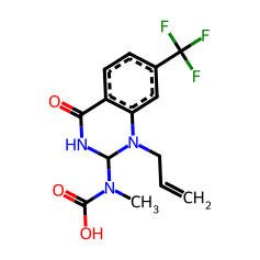 C=CCN1c2cc(C(F)(F)F)ccc2C(=O)NC1N(C)C(=O)O